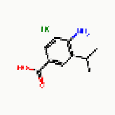 CC(C)c1cc(C(=O)O)ccc1N.Cl